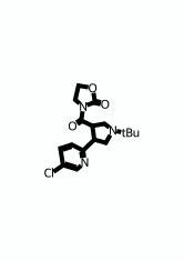 CC(C)(C)N1CC(C(=O)N2CCOC2=O)C(c2ccc(Cl)cn2)C1